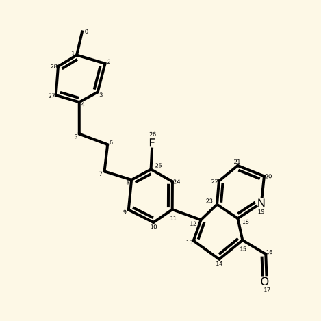 Cc1ccc(CCCc2ccc(-c3ccc(C=O)c4ncccc34)cc2F)cc1